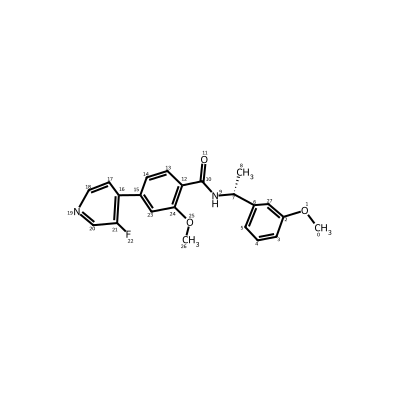 COc1cccc([C@@H](C)NC(=O)c2ccc(-c3ccncc3F)cc2OC)c1